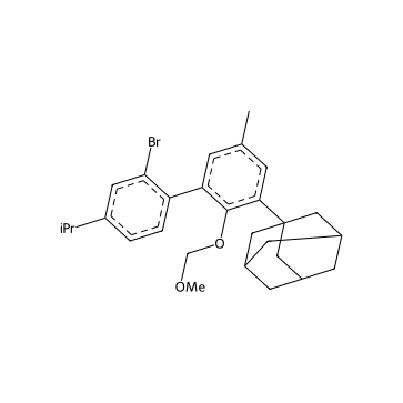 COCOc1c(-c2ccc(C(C)C)cc2Br)cc(C)cc1C12CC3CC(CC(C3)C1)C2